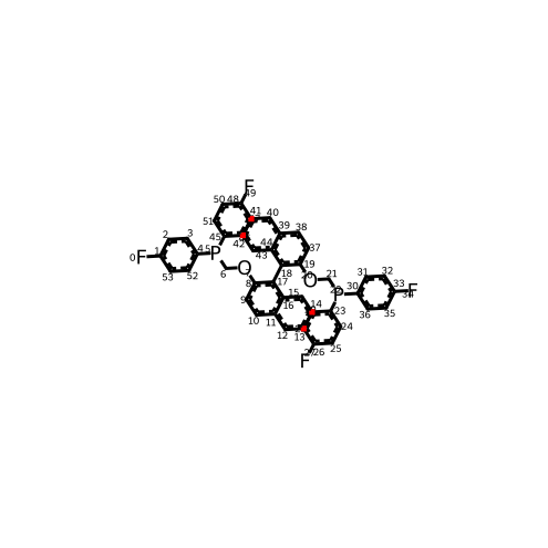 Fc1ccc(P(COc2ccc3ccccc3c2-c2c(OCP(c3ccc(F)cc3)c3ccc(F)cc3)ccc3ccccc23)c2ccc(F)cc2)cc1